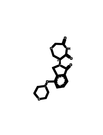 O=C1COC[C@H](N2Cc3c(ON4CCOCC4)cccc3C2=O)C(=O)N1